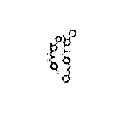 O=C(Nc1ccc(Cl)cc1)Nc1ccc(N2CCCC2)c(F)c1.O=C(Nc1ccc(OCCN2CCOCC2)cc1)Nc1ccc(N2CCCCC2)c(F)c1